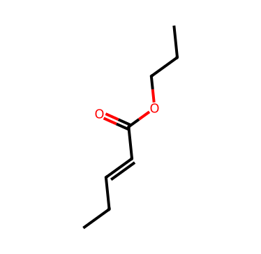 CC/C=C/C(=O)OCCC